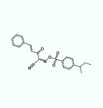 CCC(C)c1ccc(S(=O)(=O)ON=C(C#N)C(=O)/C=C/c2ccccc2)cc1